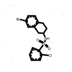 O=S(=O)(NC1CCc2[c]cc(Br)cc2C1)c1ccccc1Cl